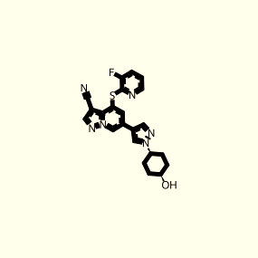 N#Cc1cnn2cc(-c3cnn([C@H]4CC[C@@H](O)CC4)c3)cc(Sc3ncccc3F)c12